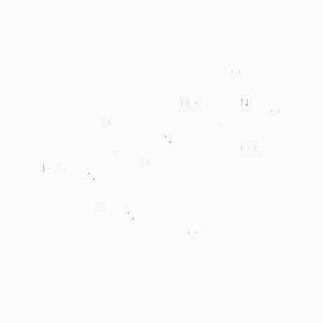 CN(SN1CCOCC1)C(=O)ON=CC(C)(C)[N+](=O)[O-]